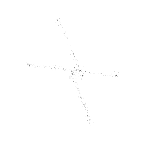 CC(C)(C)COCCOCCOCCOCCOCCOCCN(C(C)(C)N(CCOCCOCCOCCOC(C)(C)C)C(C)(C)C)C(C)(C)N(CCOCCOCCCOCCOCCOC(C)(C)C)C(C)(C)NCCOCCOCCCCOCCOCCOC(C)(C)C